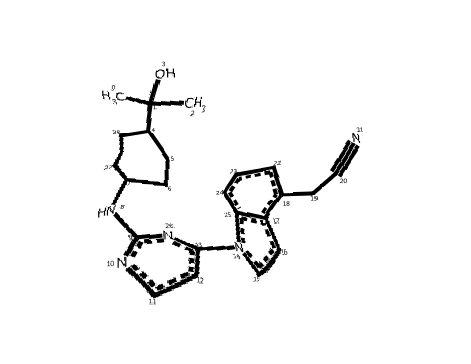 CC(C)(O)C1CCC(Nc2nccc(-n3ccc4c(CC#N)cccc43)n2)CC1